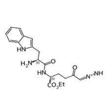 CCOC(=O)[C@H](CCC(=O)C=[N+]=N)NC(=O)[C@@H](N)Cc1cc2ccccc2[nH]1